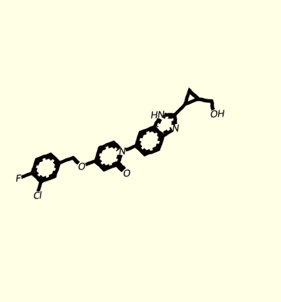 O=c1cc(OCc2ccc(F)c(Cl)c2)ccn1-c1ccc2nc(C3CC3CO)[nH]c2c1